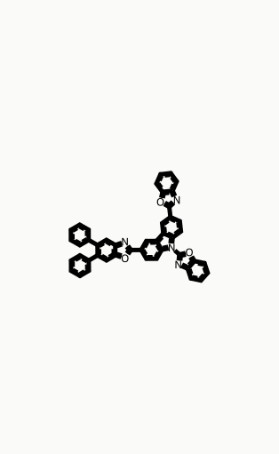 c1ccc(-c2cc3nc(-c4ccc5c(c4)c4cc(-c6nc7ccccc7o6)ccc4n5-c4nc5ccccc5o4)oc3cc2-c2ccccc2)cc1